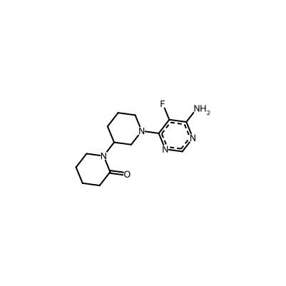 Nc1ncnc(N2CCCC(N3CCCCC3=O)C2)c1F